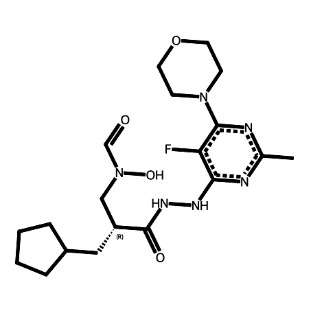 Cc1nc(NNC(=O)[C@H](CC2CCCC2)CN(O)C=O)c(F)c(N2CCOCC2)n1